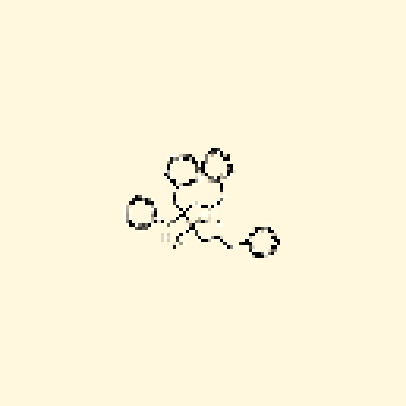 CC(C)(CCCc1ccccc1)C(CCCc1ccccc1)(Cc1ccccc1)Cc1ccccc1